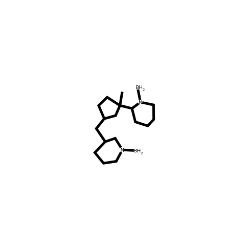 BN1CCCC(CC2CCC(C)(C3CCCCN3B)C2)C1